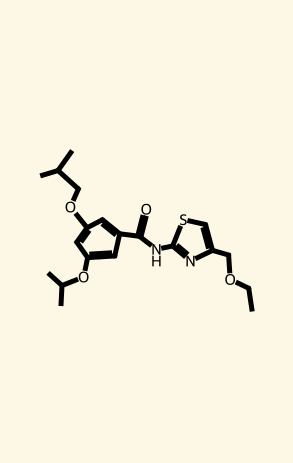 CCOCc1csc(NC(=O)c2cc(OCC(C)C)cc(OC(C)C)c2)n1